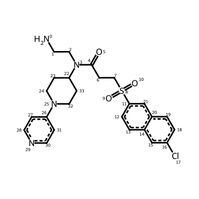 NCCN(C(=O)CCS(=O)(=O)c1ccc2cc(Cl)ccc2c1)C1CCN(c2ccncc2)CC1